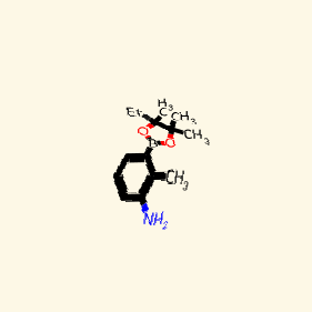 CCC1(C)OB(c2cccc(N)c2C)OC1(C)C